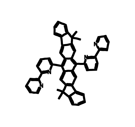 CC1(C)c2ccccc2-c2cc3c(-c4cccc(-c5ccccn5)n4)c4cc5c(cc4c(-c4cccc(-c6ccccn6)n4)c3cc21)-c1ccccc1C5(C)C